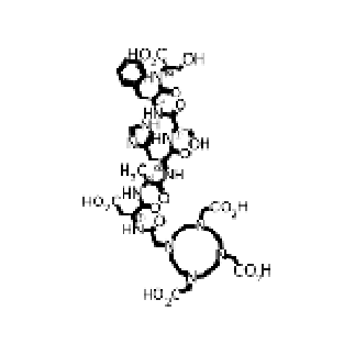 C[C@H](NC(=O)[C@H](CC(=O)O)NC(=O)CN1CCN(CC(=O)O)CCN(CC(=O)O)CCN(CC(=O)O)CC1)C(=O)N[C@@H](Cc1c[nH]cn1)C(=O)N[C@@H](CO)C(=O)N[C@@H](Cc1ccccc1)C(=O)N[C@@H](CO)C(=O)O